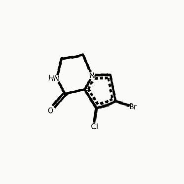 O=C1NCCn2cc(Br)c(Cl)c21